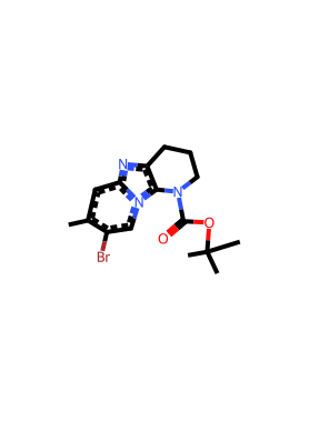 Cc1cc2nc3c(n2cc1Br)N(C(=O)OC(C)(C)C)CCC3